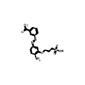 Nc1ccc(N=Nc2cccc(C(=O)O)c2)cc1OCCCS(=O)(=O)O